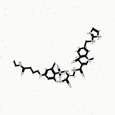 CCNC(=O)CCCOc1cc(C)c(S(=O)(=O)N[C@@H](CNC(=O)c2cn(C)c3cc(CNc4ncc[nH]4)ccc3c2=O)C(=O)O)c(C)c1